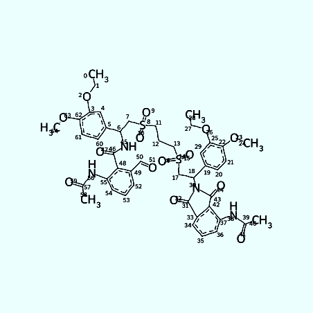 CCOc1cc(C(CS(=O)(=O)CCCS(=O)(=O)CC(c2ccc(OC)c(OCC)c2)N2C(=O)c3cccc(NC(C)=O)c3C2=O)NC(=O)c2c(C=O)cccc2NC(C)=O)ccc1OC